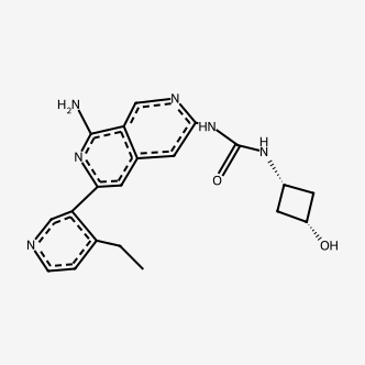 CCc1ccncc1-c1cc2cc(NC(=O)N[C@H]3C[C@@H](O)C3)ncc2c(N)n1